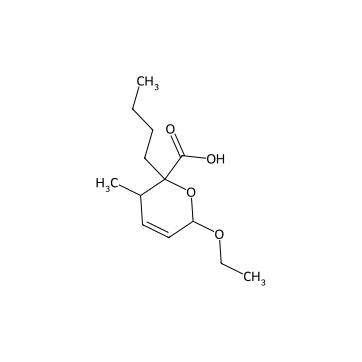 CCCCC1(C(=O)O)OC(OCC)C=CC1C